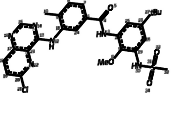 COc1c(NC(=O)c2ccc(C)c(Nc3ncnc4ccc(Cl)nc34)c2)cc(C(C)(C)C)cc1NS(C)(=O)=O